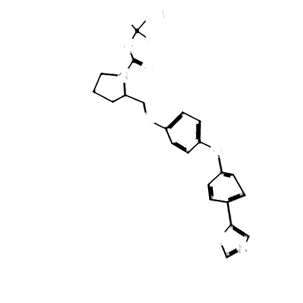 CC(C)(C)OC(=O)N1CCCC1COc1ccc(Oc2ccc(-c3cnco3)cc2)cc1